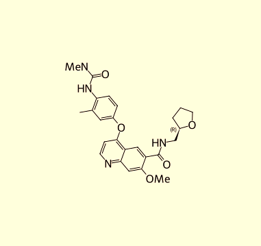 CNC(=O)Nc1ccc(Oc2ccnc3cc(OC)c(C(=O)NC[C@H]4CCCO4)cc23)cc1C